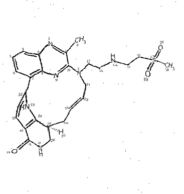 Cc1nc2cccc3c2nc1N(CCNCCS(C)(=O)=O)C/C=C/C[C@H]1CNC(=O)c2cc-3[nH]c21